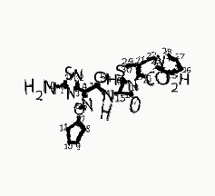 Nc1nc(C(=NOC2C=CCC2)C(=O)NC2C(=O)N3C(C(=O)O)=C(C[n+]4ccccc4)CS[C@@H]23)ns1